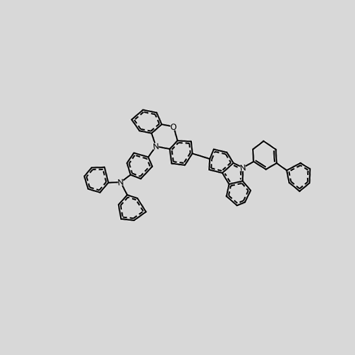 C1=C(c2ccccc2)C=C(n2c3ccccc3c3cc(-c4ccc5c(c4)Oc4ccccc4N5c4ccc(N(c5ccccc5)c5ccccc5)cc4)ccc32)CC1